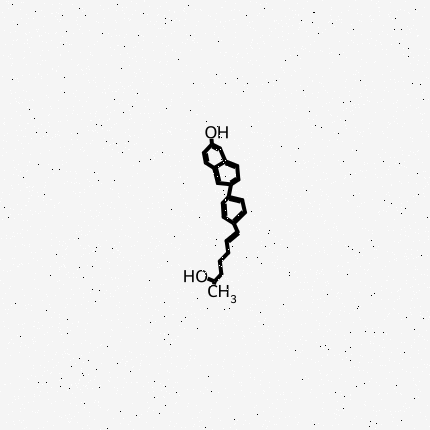 CC(O)CCCC=Cc1ccc(-c2ccc3cc(O)ccc3c2)cc1